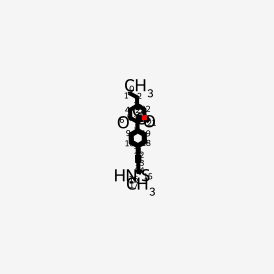 CCCC12CC(=O)C(c3ccc(C#CC(=S)NC)cc3)(C(=O)C1)C(=O)C2